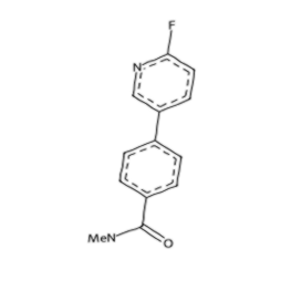 CNC(=O)c1ccc(-c2ccc(F)nc2)cc1